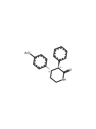 CC(=O)Oc1ccc([C@H]2CCNC(=O)[C@@H]2c2ccccc2)cc1